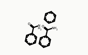 NC(=O)c1ccccc1.NC(=O)c1ccccc1.[c]1ccccc1